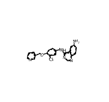 Nc1ccc2ncnc(Nc3ccc(OCc4cccnc4)c(Cl)c3)c2c1